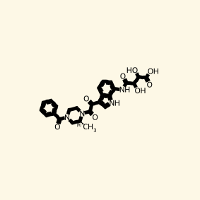 C[C@@H]1CN(C(=O)c2ccccc2)CCN1C(=O)C(=O)c1c[nH]c2c(NC(=O)C(O)C(O)C(=O)O)cccc12